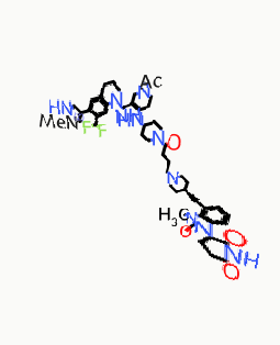 CN/C=C(\C=N)c1cc2c(cc1C(F)F)N(C(=N)C1=C(NC3CCN(C(=O)CCCN4CCC(C#Cc5cccc6c5n(C)c(=O)n6C5CCC(=O)NC5=O)CC4)CC3)CCN(C(C)=O)C1)CCC2